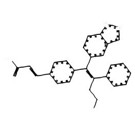 O=C(O)C=Cc1ccc(C(=C(CCF)c2ccccc2)c2ccc3[nH]ncc3c2)cc1